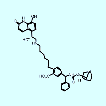 O=C(NC(c1ccccc1)c1ccc(CCCCCCNC[C@H](O)c2ccc(O)c3[nH]c(=O)ccc23)c(C(=O)O)c1)O[C@H]1CN2CCC1CC2